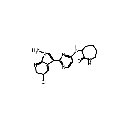 Nn1cc(-c2nccc(NC3CCCCNC3=O)n2)c2c1=NCC(Cl)C=2